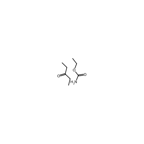 CCC(=O)CC.CCOC(N)=O